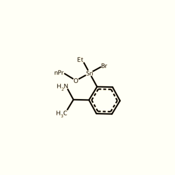 CCC[O][Sn]([Br])([CH2]C)[c]1ccccc1C(C)N